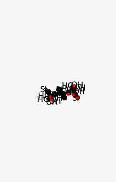 C[Si](C)(C)c1ccc(N(c2ccc(-c3cc4c5ccccc5c(-c5ccc(N(c6ccc([Si](C)(C)C)cc6)c6c(O)c(O)c(O)c(O)c6O)cc5)cc4c4ccccc34)cc2)c2c(O)c(O)c(O)c(O)c2O)cc1